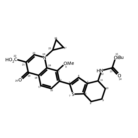 COc1c(-c2cc3c(s2)CCCC3NC(=O)OCC(C)C)ccc2c(=O)c(C(=O)O)cn(C3CC3)c12